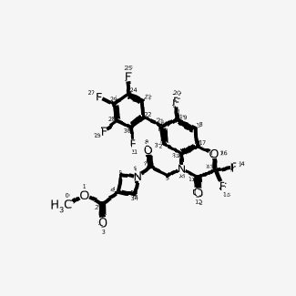 COC(=O)C1CN(C(=O)CN2C(=O)C(F)(F)Oc3cc(F)c(-c4cc(F)c(F)c(F)c4F)cc32)C1